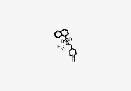 CN(CC1CCNCC1)S(=O)(=O)c1cccc2ccccc12